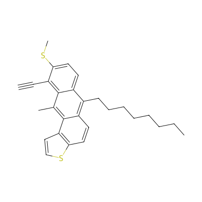 C#Cc1c(SC)ccc2c(CCCCCCCC)c3ccc4sccc4c3c(C)c12